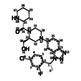 C[C@H](c1ccc(Cl)cc1F)n1nnc2ccc(N3CCN(C(=O)[C@H]4CCCCN4)[C@H](CO)C3)cc21